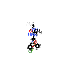 CCCNC(=O)[C@@H]1NC(C23CC(N(Cc4ccc(Cl)c(F)c4)S(=O)(=O)c4ccccc4)(C2)C3)=NC1(C)C